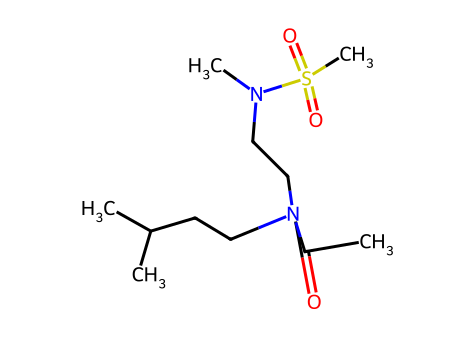 CC(=O)N(CCC(C)C)CCN(C)S(C)(=O)=O